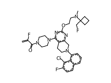 C=C(F)C(=O)N1CCN(c2nc(OCCN(C)C3(CF)CCC3)nc3c2CCN(c2cccc4ccc(F)c(Cl)c24)C3)CC1